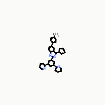 Cc1ccc(-c2ccc3nc(-c4cc(-c5ccccn5)cc(-c5ccccn5)c4)nc(-c4ccccc4)c3c2)cc1